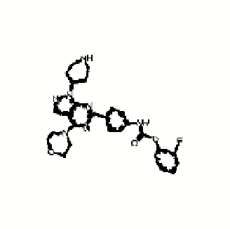 O=C(Nc1ccc(-c2nc(N3CCOCC3)c3cnn(C4CCNCC4)c3n2)cc1)Oc1ccccc1F